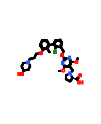 COc1nc(OCc2cccc(-c3cccc(OCCCN4CCC(O)CC4)c3C)c2Cl)nc(OC)c1CN1CCC[C@H]1C(=O)O